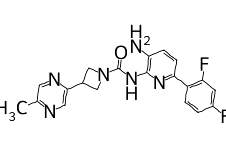 Cc1cnc(C2CN(C(=O)Nc3nc(-c4ccc(F)cc4F)ccc3N)C2)cn1